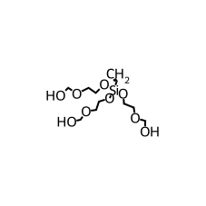 C=C[Si](OCCOCO)(OCCOCO)OCCOCO